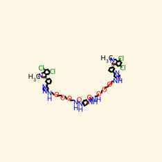 CN1Cc2c(Cl)cc(Cl)cc2[C@H](c2cccc(-c3cc(NCCOCCOCCOCCNC(=O)Nc4ccc(NC(=O)NCCOCCOCCOCCNc5cc(-c6cccc([C@@H]7CN(C)Cc8c(Cl)cc(Cl)cc87)c6)ncn5)cc4)ncn3)c2)C1